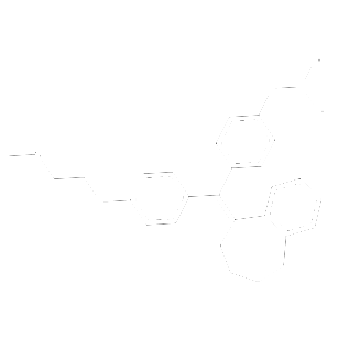 CN(C)CCOc1ccc(C(=C2CCCCc3ccccc32)c2ccc(OP(O)O)cc2)cc1